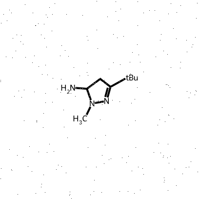 CN1N=C(C(C)(C)C)CC1N